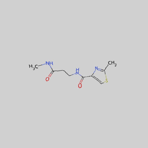 CNC(=O)CCNC(=O)c1csc(C)n1